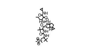 CCCC(NC(=O)[C@@H]1[C@H]2CCC3(CC3)[C@H]2CN1C(=O)[C@@H](NC(=O)N[C@H](CN(C)S(C)(=O)=O)C(C)(C)C)C(C)(C)C)C(=O)C(=O)NC1CC1